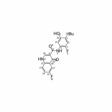 CC(C)(C)c1cc(F)c(NC(=O)c2c[nH]c3ccc(F)cc3c2=O)cc1O